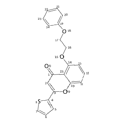 O=c1cc(-c2cccs2)oc2cccc(OCCOc3ccccc3)c12